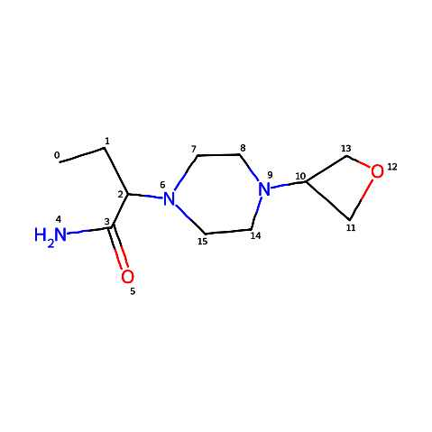 CCC(C(N)=O)N1CCN(C2COC2)CC1